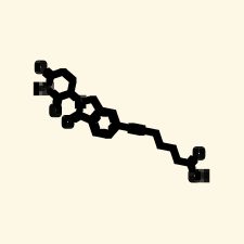 O=C(O)CCCCC#Cc1ccc2c(c1)CN(C1CCC(=O)NC1=O)C2=O